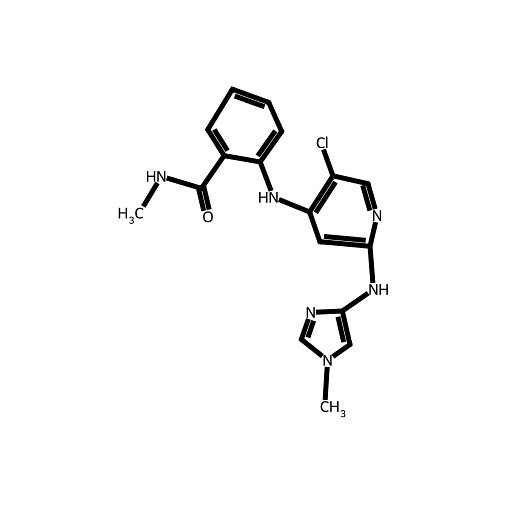 CNC(=O)c1ccccc1Nc1cc(Nc2cn(C)cn2)ncc1Cl